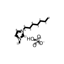 CCCCCCC[n+]1ccn(C)c1.O=S(=O)([O-])O